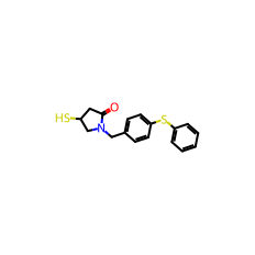 O=C1CC(S)CN1Cc1ccc(Sc2ccccc2)cc1